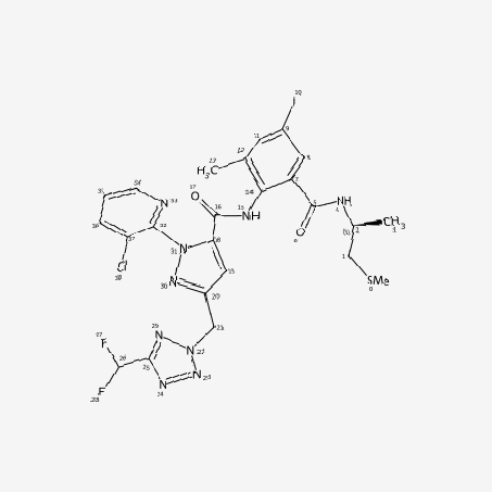 CSC[C@H](C)NC(=O)c1cc(I)cc(C)c1NC(=O)c1cc(Cn2nnc(C(F)F)n2)nn1-c1ncccc1Cl